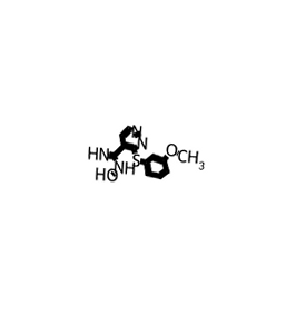 COc1cccc(Sc2nnccc2C(=N)NO)c1